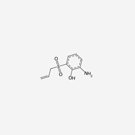 C=CCS(=O)(=O)c1cccc(N)c1O